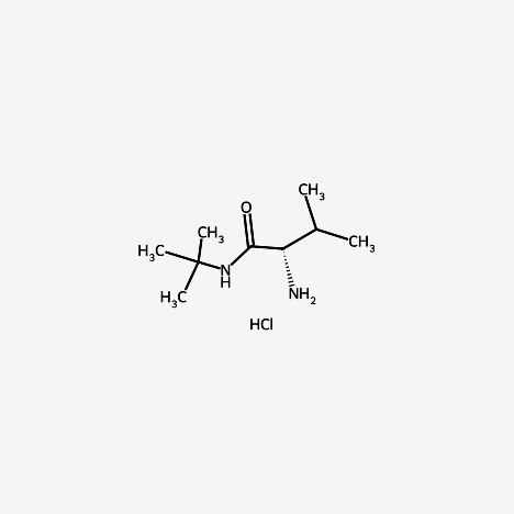 CC(C)[C@H](N)C(=O)NC(C)(C)C.Cl